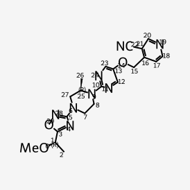 CO[C@H](C)c1nc(N2CCN(c3ncc(OCc4ccncc4C#N)cn3)[C@H](C)C2)no1